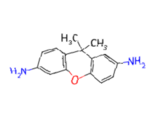 CC1(C)c2ccc(N)cc2Oc2ccc(N)cc21